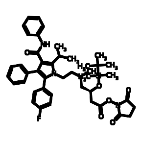 CC(C)c1c(C(=O)Nc2ccccc2)c(-c2ccccc2)c(-c2ccc(F)cc2)n1CC[C@@H](C)C[C@H](CC(=O)ON1C(=O)CCC1=O)O[Si](C)(C)C(C)(C)C